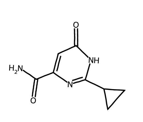 NC(=O)c1cc(=O)[nH]c(C2CC2)n1